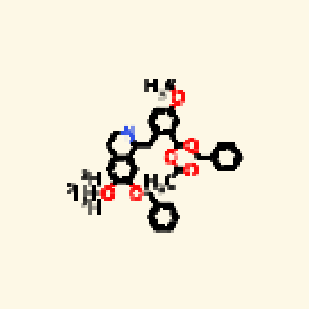 [2H]C([2H])([2H])Oc1cc2c(cc1OCc1ccccc1)C(Cc1ccc(OC)cc1C(OCc1ccccc1)OC(C)=O)=NCC2